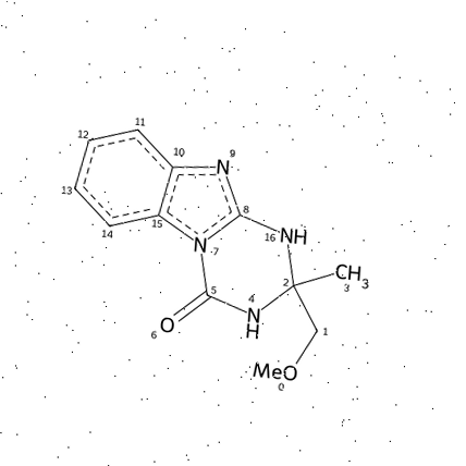 COCC1(C)NC(=O)n2c(nc3ccccc32)N1